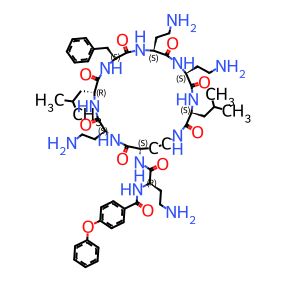 CC(C)C[C@@H]1NC(=O)[C@H](CCN)NC(=O)[C@H](CCN)NC(=O)[C@H](Cc2ccccc2)NC(=O)[C@@H](CC(C)C)NC(=O)[C@H](CCN)NC(=O)[C@@H](NC(=O)[C@@H](CCN)NC(=O)c2ccc(Oc3ccccc3)cc2)CCNC1=O